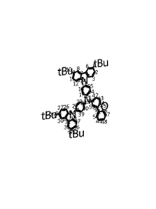 CC(C)(C)c1ccc2c(c1)c1cc(C(C)(C)C)ccc1n2-c1ccc(N(c2ccc(-n3c4ccc(C(C)(C)C)cc4c4cc(C(C)(C)C)ccc43)cc2)c2ccc3oc4ccccc4c3c2)cc1